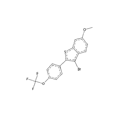 COc1ccc2c(Br)c(-c3ccc(OC(F)(F)F)cc3)sc2c1